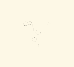 BCC(CC(C)C)C1CCC1c1cc(CCn2ccc3cccc(C(=O)O)c32)cc(-c2ccc3c(c2)[C@H](N)CO3)c1